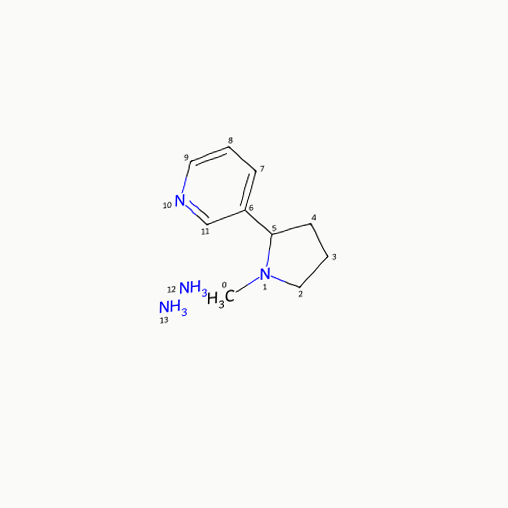 CN1CCCC1c1cccnc1.N.N